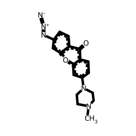 CN1CCN(c2ccc3c(=O)c4ccc(N=[N+]=[N-])cc4oc3c2)CC1